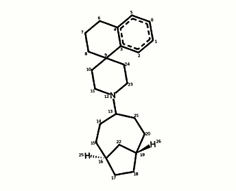 c1ccc2c(c1)CCCC21CCN(C2CC[C@@H]3CC[C@@H](CC2)C3)CC1